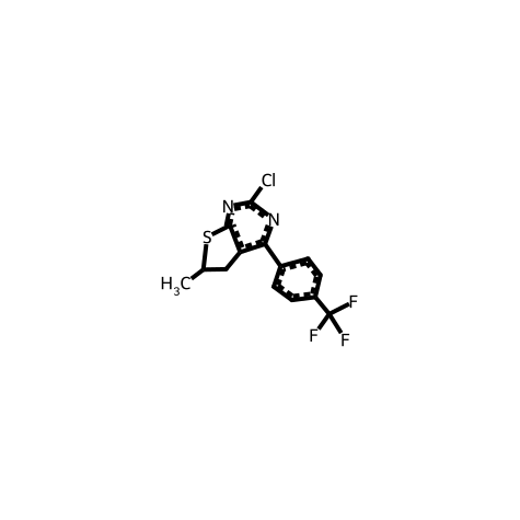 CC1Cc2c(nc(Cl)nc2-c2ccc(C(F)(F)F)cc2)S1